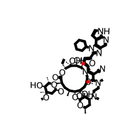 CC[C@H]1OC(=O)[C@H](C)[C@@H](O[C@H]2C[C@@](C)(OC)[C@@H](O)[C@H](C)O2)[C@H](C)[C@@H](O[C@@H]2O[C@H](C)C[C@H](N(C)CCN(C)C(=O)C(C#N)=Cc3ccc(-c4nc5cnc6[nH]ccc6c5n4C4CCCCC4)o3)[C@H]2O)[C@](C)(O)C[C@@H](C)CN(C)[C@H](C)[C@@H](O)[C@]1(C)O